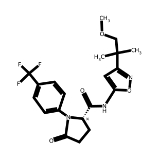 COCC(C)(C)c1cc(NC(=O)[C@@H]2CCC(=O)N2c2ccc(C(F)(F)F)cc2)on1